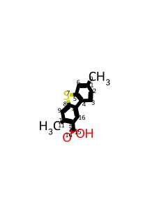 Cc1ccc2c(c1)sc1cc(C)c(C(=O)O)cc12